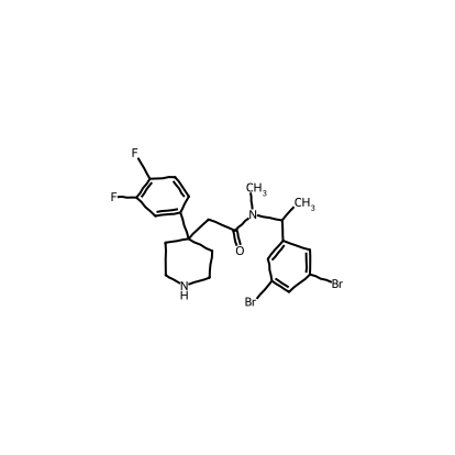 CC(c1cc(Br)cc(Br)c1)N(C)C(=O)CC1(c2ccc(F)c(F)c2)CCNCC1